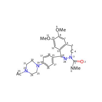 CNC(=O)N1CCc2cc(OC)c(OC)cc2C(c2ccc(N3CCN(C(C)=O)CC3)cc2)=N1